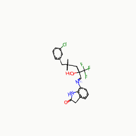 CC(C)(Cc1cccc(Cl)c1)CC(O)(/C=N/c1cccc2c1NC(=O)C2)C(F)(F)F